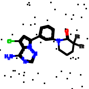 CCC1(CC)CCCN(c2cccc(-c3cc(Cl)c4c(N)ncnn34)c2)C1=O